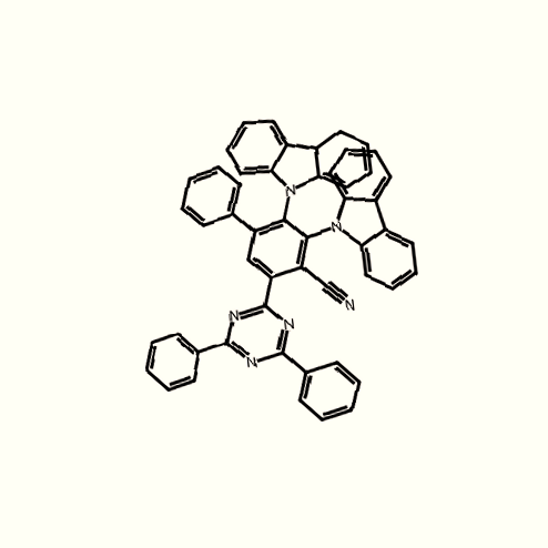 N#Cc1c(-c2nc(-c3ccccc3)nc(-c3ccccc3)n2)cc(-c2ccccc2)c(N2C3=CC=CCC3c3ccccc32)c1-n1c2ccccc2c2ccccc21